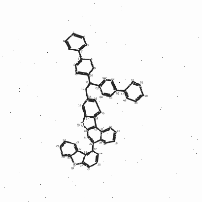 C1=C(c2ccccc2)CCC(C(Cc2ccc3c(c2)oc2cc(-c4cccc5sc6ccccc6c45)c4ccccc4c23)c2ccc(-c3ccccc3)cc2)=C1